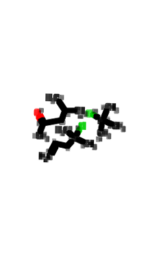 C=CC[Si](C)(C)Cl.CC(=O)CC(C)C.C[Si](C)(C)Cl